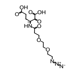 [N-]=[N+]=NCCOCCOCCC(=O)N[C@@H](CCC(=O)O)C(=O)C(=O)O